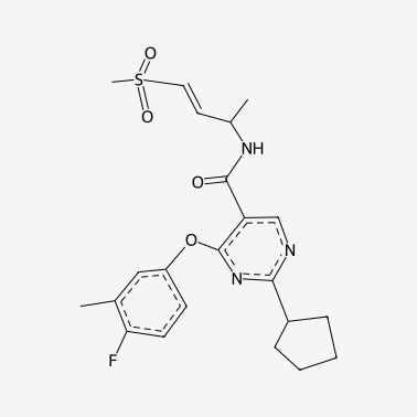 Cc1cc(Oc2nc(C3CCCC3)ncc2C(=O)NC(C)/C=C/S(C)(=O)=O)ccc1F